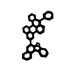 c1ccc(-c2c3ccccc3c(-c3ccccc3)c3c(-c4cccc(-c5cc6ccccc6c6c5oc5ccccc56)c4)cccc23)cc1